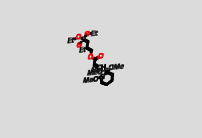 C=CC(=O)OCCC[Si](OCC)(OCC)OCC.COC1(OC)CCCC[Si]1(OC)OC